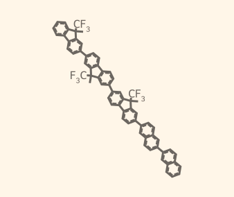 CC1(C(F)(F)F)c2ccccc2-c2ccc(-c3ccc4c(c3)C(C)(C(F)(F)F)c3cc(-c5ccc6c(c5)C(C)(C(F)(F)F)c5cc(-c7ccc8cc(-c9ccc%10ccccc%10c9)ccc8c7)ccc5-6)ccc3-4)cc21